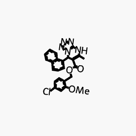 COc1cc(Cl)ccc1COC(=O)C1=C(C)Nc2nnnn2C1c1cccc2ccccc12